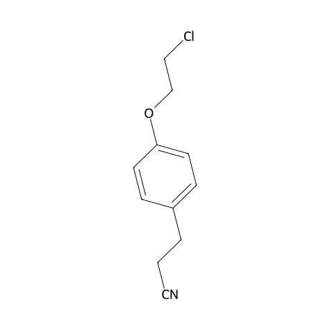 N#CCCc1ccc(OCCCl)cc1